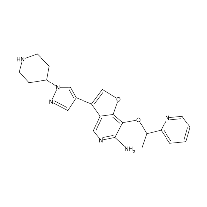 CC(Oc1c(N)ncc2c(-c3cnn(C4CCNCC4)c3)coc12)c1ccccn1